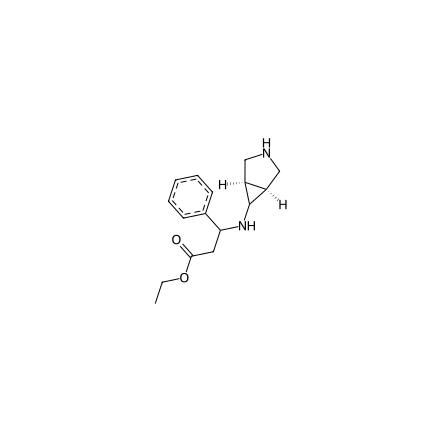 CCOC(=O)CC(NC1[C@H]2CNC[C@@H]12)c1ccccc1